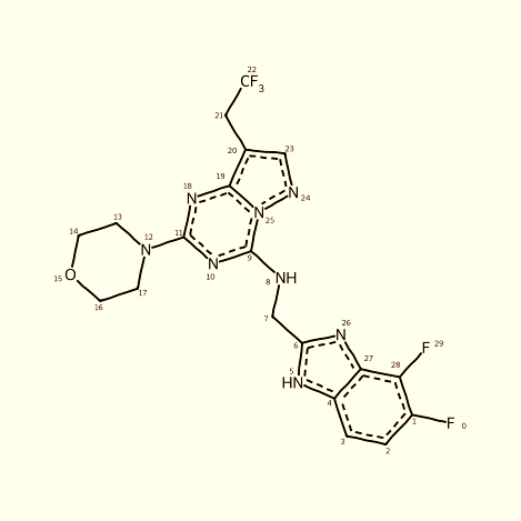 Fc1ccc2[nH]c(CNc3nc(N4CCOCC4)nc4c(CC(F)(F)F)cnn34)nc2c1F